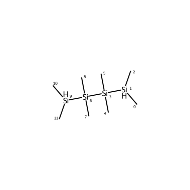 C[SiH](C)[Si](C)(C)[Si](C)(C)[SiH](C)C